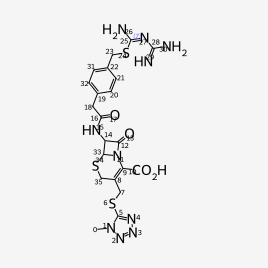 Cn1nnnc1SCC1=C(C(=O)O)N2C(=O)C(NC(=O)Cc3ccc(CS/C(N)=N\C(=N)N)cc3)C2SC1